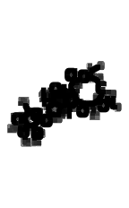 CC[C@H]1CCC[C@H](ON(C)C)[C@@H](C)C(=O)C2=C[C@H]3[C@@H]4C[C@H](O[C@@H]5OC(C)[C@H](OC)C(OC)C5OC)C[C@H]4[C@H]4O[C@H]4[C@H]3[C@@H]2CC(=O)O1